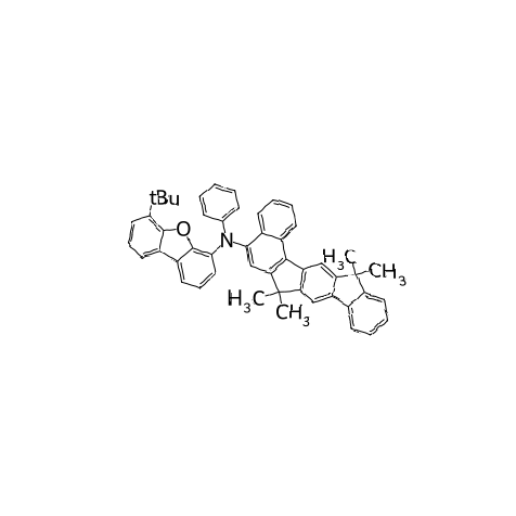 CC(C)(C)c1cccc2c1oc1c(N(c3ccccc3)c3cc4c(c5ccccc35)-c3cc5c(cc3C4(C)C)-c3ccccc3C5(C)C)cccc12